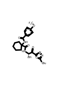 CCC[C@H](NC(=O)C1(NC(=O)c2ccc(OC(F)(F)F)cc2)CCCCC1)C(=O)c1nnc(C(C)(C)C)o1